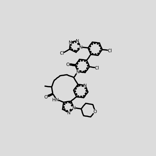 CC1CCCC(n2cc(Cl)c(-c3cc(Cl)ccc3-n3cc(Cl)nn3)cc2=O)c2cc(ccn2)-c2c(cnn2C2CCOCC2)NC1=O